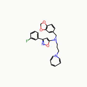 Fc1cccc(-c2cc(N(CCCN3C=CC=CC=C3)Cc3ccc4c(c3)OCO4)on2)c1